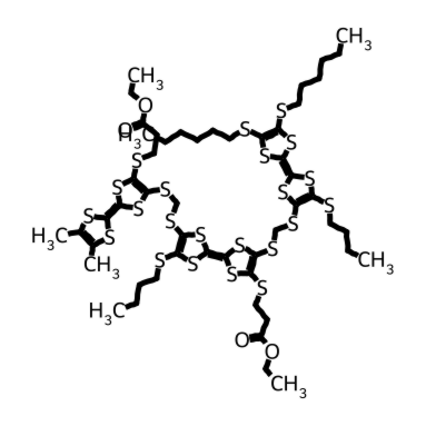 CCCCCCSC1=C(SCCCCCC)SC(=C2SC(SCCCC)=C(SCSC3=C(SCCC(=O)OCC)S/C(=C4\SC(SCCCC)=C(SCSC5=C(SCCC(=O)OCC)SC(=C6SC(C)=C(C)S6)S5)S4)S3)S2)S1